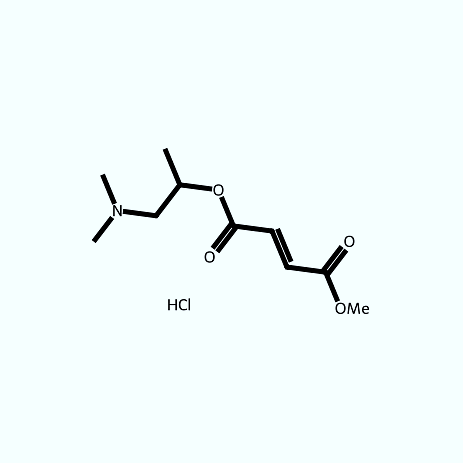 COC(=O)/C=C/C(=O)OC(C)CN(C)C.Cl